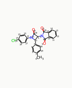 Cc1ccc(C2C(N3C(=O)c4ccccc4C3=O)C(=O)N2c2ccc(Cl)cc2)cc1